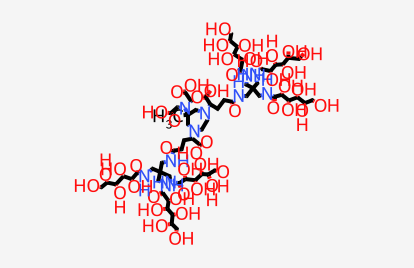 CC1(N(CC(=O)O)CC(=O)O)CN(C(CCC(=O)NCC(CNC(=O)C(O)C(O)C(O)C(O)CO)(CNC(=O)C(O)C(O)C(O)C(O)CO)CNC(=O)C(O)C(O)C(O)C(O)CO)C(=O)O)CCN(C(CCC(=O)NCC(CNC(=O)C(O)C(O)C(O)C(O)CO)(CNC(=O)C(O)C(O)C(O)C(O)CO)CNC(O)C(O)C(O)C(O)C(O)CO)C(=O)O)C1